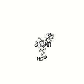 CC(=O)N1c2ccc(CCC(=O)O)cc2C(Nc2ccc(-c3cnns3)cc2)CC1C